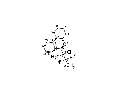 CC(F)(F)C(C)(C)C(=O)N1C=CC=C[C@H]1C1CCCCC1